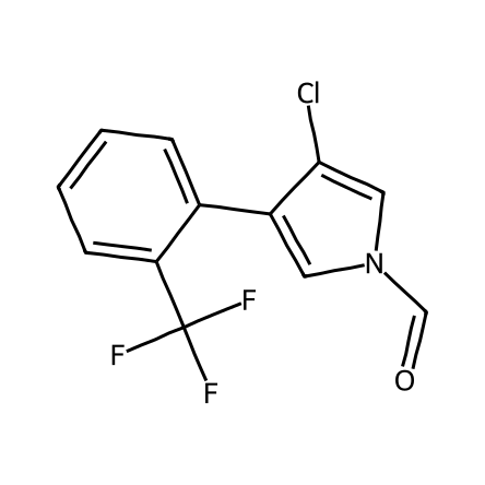 O=Cn1cc(Cl)c(-c2ccccc2C(F)(F)F)c1